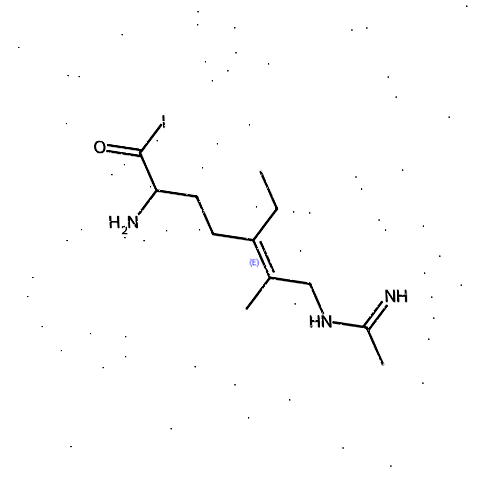 CC/C(CCC(N)C(=O)I)=C(/C)CNC(C)=N